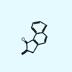 C=C1Cc2ccc3ccccc3c2C1=O